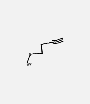 C#CCCSCCC